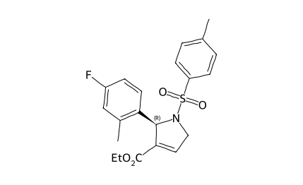 CCOC(=O)C1=CCN(S(=O)(=O)c2ccc(C)cc2)[C@@H]1c1ccc(F)cc1C